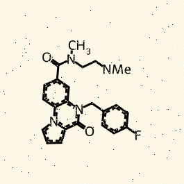 CNCCN(C)C(=O)c1ccc2c(c1)n(Cc1ccc(F)cc1)c(=O)c1cccn12